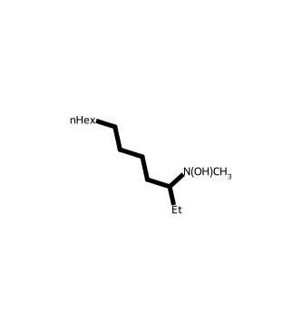 CCCCCCCCCCC(CC)N(C)O